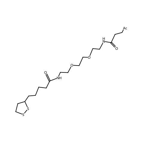 CC(=O)CCC(=O)NCCOCCOCCNC(=O)CCCCC1CCSS1